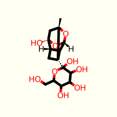 C[C@@]12C[C@@]3(O)O[C@H](O1)C1[C@@H]3C[C@]12C1(O)OC(CO)C(O)C(O)C1O